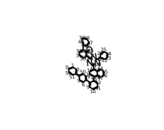 c1ccc(-c2ccc(-c3ccccc3-c3ccc(-c4nc(-c5ccccc5)nc(-c5cccc6c5oc5ccccc56)n4)c4ccccc34)cc2)cc1